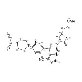 C#CC(=O)N1CCN(c2ccc(-c3cc(-c4cn(CCOC)nn4)cn4ncc(C#N)c34)cn2)CC1